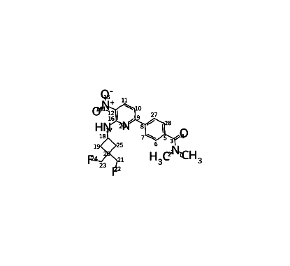 CN(C)C(=O)c1ccc(-c2ccc([N+](=O)[O-])c(NC3CC(CF)(CF)C3)n2)cc1